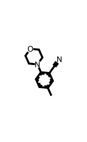 Cc1ccc(N2CCOCC2)c(C#N)c1